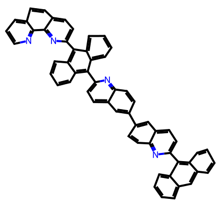 c1ccc2c(-c3ccc4cc(-c5ccc6nc(-c7c8ccccc8c(-c8ccc9ccc%10cccnc%10c9n8)c8ccccc78)ccc6c5)ccc4n3)c3ccccc3cc2c1